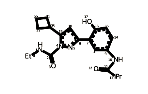 CCNC(=O)n1nc(-c2cc(NC(=O)C(C)C)ccc2O)cc1C1CCC1